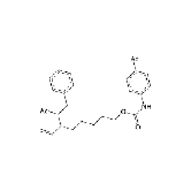 C=CC(CCCCCOC(=O)Nc1ccc(C(C)=O)cc1)C(Cc1ccccc1)C(C)=O